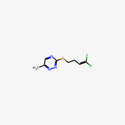 Cc1cnc(SCCC=C(F)F)nn1